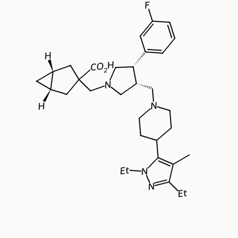 CCc1nn(CC)c(C2CCN(C[C@@H]3CN(CC4(C(=O)O)C[C@H]5C[C@H]5C4)C[C@@H]3c3cccc(F)c3)CC2)c1C